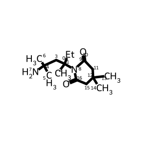 CCC(C)(CC(C)(C)N)N1C(=O)CC(C)(C)CC1=O